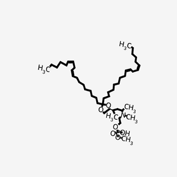 CCCCC/C=C\C/C=C\CCCCCCCCC1(CCCCCCCC/C=C\C/C=C\CCCCC)OC[C@H](C(C)CC(C)N(C)CCOP(=O)(O)OC)O1